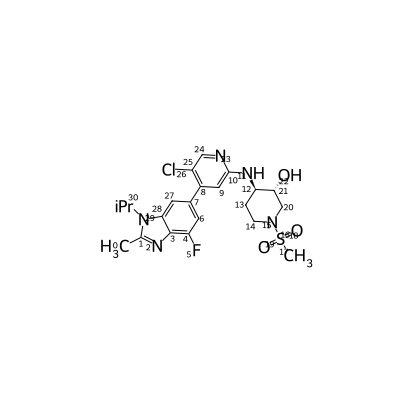 Cc1nc2c(F)cc(-c3cc(N[C@@H]4CCN(S(C)(=O)=O)C[C@H]4O)ncc3Cl)cc2n1C(C)C